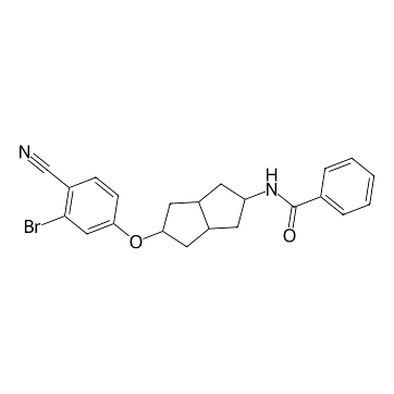 N#Cc1ccc(OC2CC3CC(NC(=O)c4ccccc4)CC3C2)cc1Br